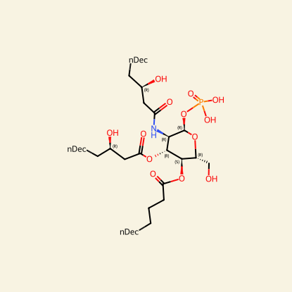 CCCCCCCCCCCCCC(=O)O[C@H]1[C@H](OC(=O)C[C@H](O)CCCCCCCCCCC)[C@@H](NC(=O)C[C@H](O)CCCCCCCCCCC)[C@@H](OP(=O)(O)O)O[C@@H]1CO